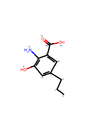 CCCc1cc(O)c(N)c(C(=O)O)c1